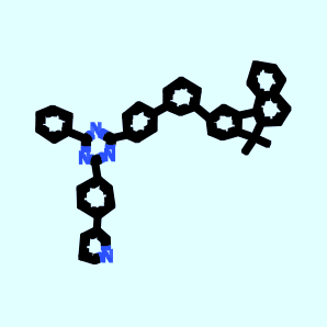 CC1(C)c2ccc(-c3cccc(-c4ccc(-c5nc(-c6ccccc6)nc(-c6ccc(-c7cccnc7)cc6)n5)cc4)c3)cc2-c2c1ccc1ccccc21